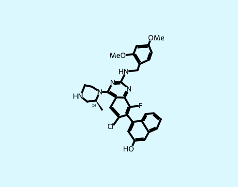 COc1ccc(CNc2nc(N3CCNC[C@@H]3C)c3cc(Cl)c(-c4cc(O)cc5ccccc45)c(F)c3n2)c(OC)c1